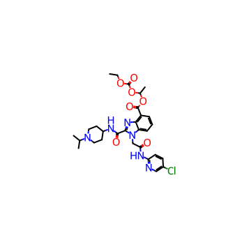 CCOC(=O)OC(C)OC(=O)c1cccc2c1nc(C(=O)NC1CCN(C(C)C)CC1)n2CC(=O)Nc1ccc(Cl)cn1